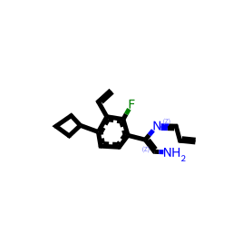 C=C/C=N\C(=C/N)c1ccc(C2CCC2)c(C=C)c1F